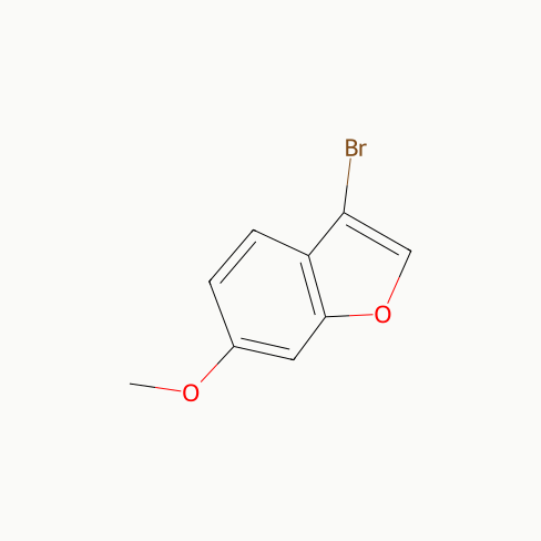 COc1ccc2c(Br)coc2c1